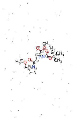 COC[C@@H]1CCCN1C(=O)CCC(NC(=O)OC(C)(C)C)C(=O)OC